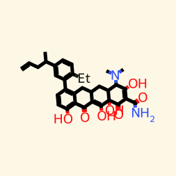 C=CCC(C)c1ccc(CC)c(-c2ccc(O)c3c2CC2CC4C(N(C)C)C(O)=C(C(N)=O)C(=O)C4(O)C(O)=C2C3=O)c1